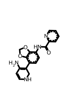 NC1=C(c2ccc(NC(=O)c3ccccn3)c3c2OCO3)CNC=C1